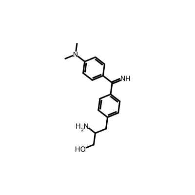 CN(C)c1ccc(C(=N)c2ccc(CC(N)CO)cc2)cc1